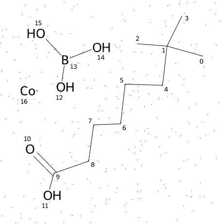 CC(C)(C)CCCCCC(=O)O.OB(O)O.[Co]